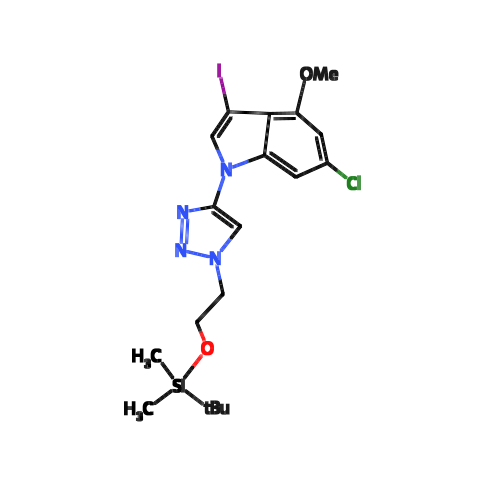 COc1cc(Cl)cc2c1c(I)cn2-c1cn(CCO[Si](C)(C)C(C)(C)C)nn1